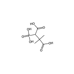 CC(C)(C(=O)O)C(C(=O)O)P(=O)(O)O